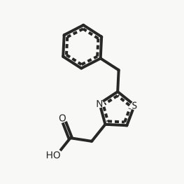 O=C(O)Cc1csc(Cc2ccccc2)n1